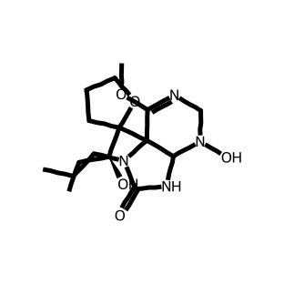 CCCN1C(=O)NC2N(O)CN=C(OC)C21C1([C@@H](O)CC)CCCO1